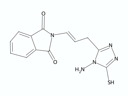 Nn1c(S)nnc1CC=CN1C(=O)c2ccccc2C1=O